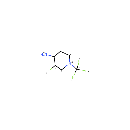 NC1CCN(C(F)(F)F)CC1F